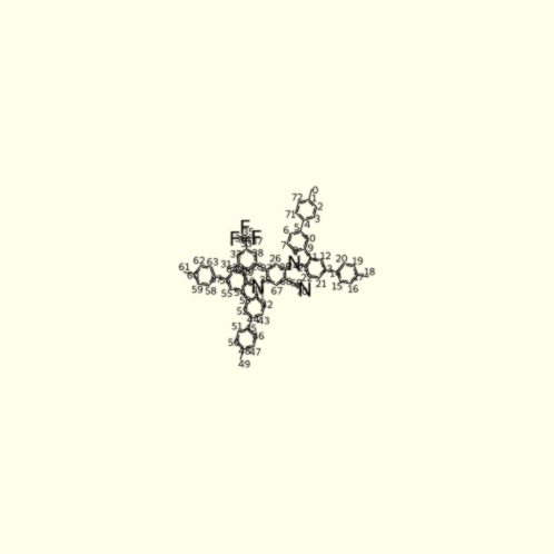 Cc1ccc(-c2ccc3c(c2)c2cc(-c4ccc(C)cc4)ccc2n3-c2cc(-c3cc(C)cc(C(F)(F)F)c3)c(-n3c4ccc(-c5ccc(C)cc5)cc4c4cc(-c5ccc(C)cc5)ccc43)cc2C#N)cc1